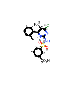 Cc1ccccc1-c1nc(NS(=O)(=O)c2cccc(C(=O)O)c2)nc(Cl)c1C(F)(F)F